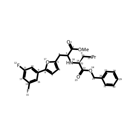 COC(=O)C(Cc1ccc(-c2cc(F)cc(F)c2)o1)N[C@@H](CC(C)C)C(=O)OCc1ccccc1